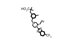 Cc1cc(CN2CCN(c3nc4ccc(C(F)(F)F)cc4s3)[C@H](CC(C)C)C2)cc(CC(C)(C)C(=O)O)c1